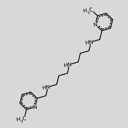 Cc1cccc(CNCCCNCCCNCc2cccc(C)n2)n1